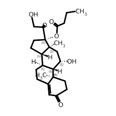 CCCC(=O)O[C@@]1(C(=O)CO)CC[C@H]2[C@@H]3CCC4=CC(=O)CC[C@]4(C)[C@H]3[C@@H](O)C[C@@]21C